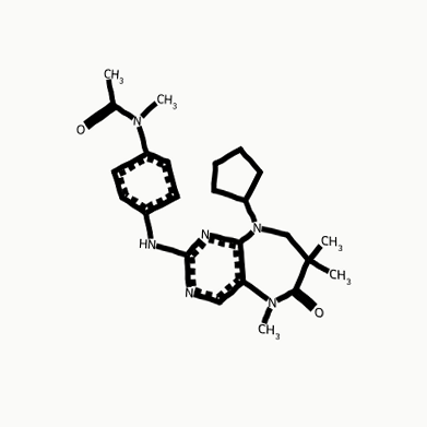 CC(=O)N(C)c1ccc(Nc2ncc3c(n2)N(C2CCCC2)CC(C)(C)C(=O)N3C)cc1